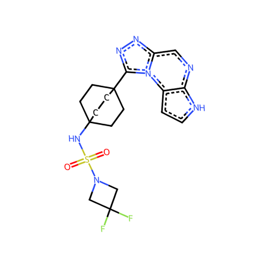 O=S(=O)(NC12CCC(c3nnc4cnc5[nH]ccc5n34)(CC1)CC2)N1CC(F)(F)C1